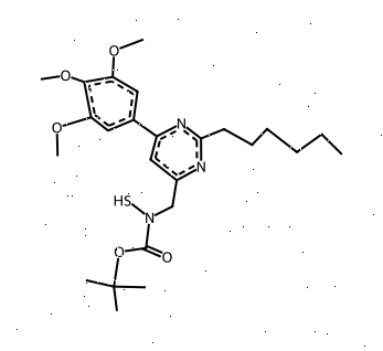 CCCCCCc1nc(CN(S)C(=O)OC(C)(C)C)cc(-c2cc(OC)c(OC)c(OC)c2)n1